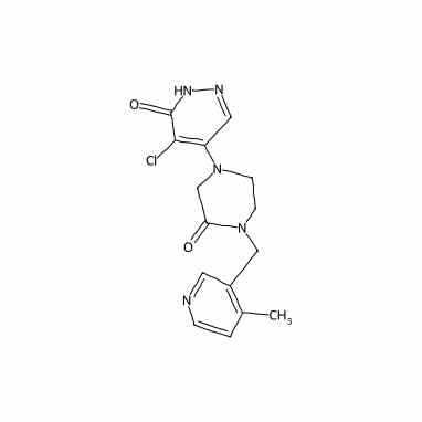 Cc1ccncc1CN1CCN(c2cn[nH]c(=O)c2Cl)CC1=O